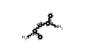 NCCCOc1ccc(/C=C/C(=O)CC(=O)/C=C/c2ccc(OCCCN)c(OCc3ccccc3)c2)cc1OCc1ccccc1